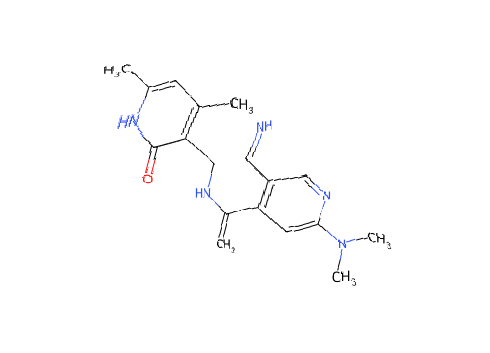 C=C(NCc1c(C)cc(C)[nH]c1=O)c1cc(N(C)C)ncc1C=N